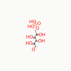 O=[C][C@H](O)[C@@H](O)[C@H](O)[C@H](O)COP(=O)(O)O